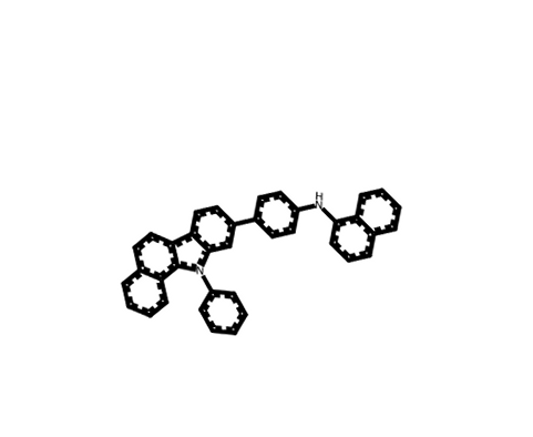 c1ccc(-n2c3cc(-c4ccc(Nc5cccc6ccccc56)cc4)ccc3c3ccc4ccccc4c32)cc1